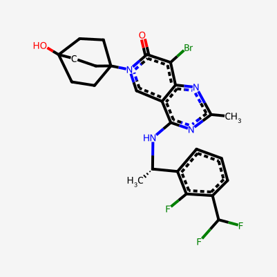 Cc1nc(N[C@@H](C)c2cccc(C(F)F)c2F)c2cn(C34CCC(O)(CC3)CC4)c(=O)c(Br)c2n1